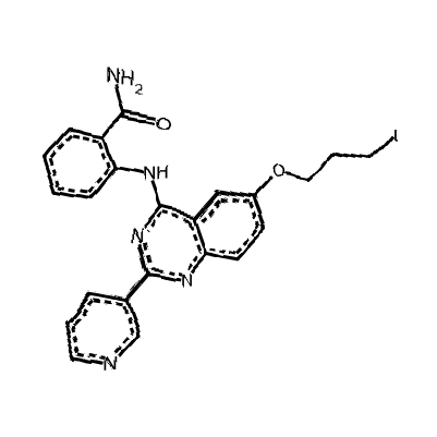 NC(=O)c1ccccc1Nc1nc(-c2cccnc2)nc2ccc(OCCCI)cc12